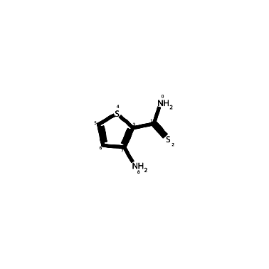 NC(=S)c1sccc1N